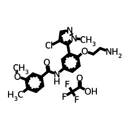 COc1cc(C(=O)Nc2ccc(OCCN)c(-c3c(Cl)cnn3C)c2)ccc1C.O=C(O)C(F)(F)F